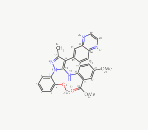 CCOc1ccccc1-n1nc(C)c(-c2ccc3nccnc3c2)c1Nc1ccc(OC)cc1C(=O)OC